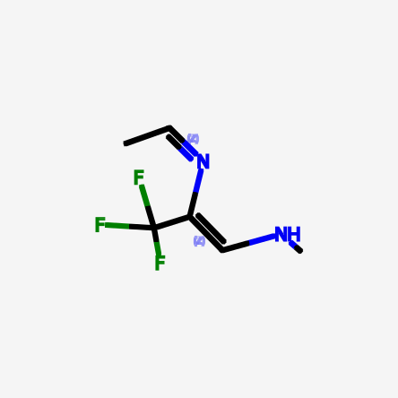 C/C=N\C(=C/NC)C(F)(F)F